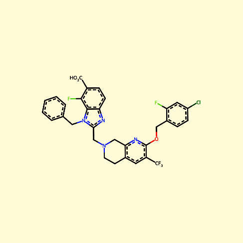 O=C(O)c1ccc2nc(CN3CCc4cc(C(F)(F)F)c(OCc5ccc(Cl)cc5F)nc4C3)n(Cc3ccccc3)c2c1F